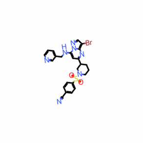 N#Cc1ccc(S(=O)(=O)N2CCCC(c3cc(NCc4cccnc4)n4ncc(Br)c4n3)C2)cc1